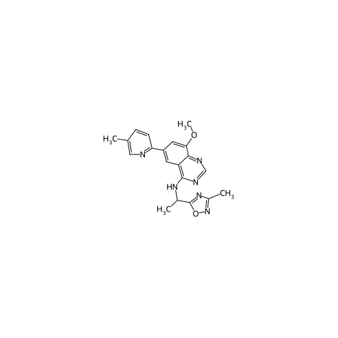 COc1cc(-c2ccc(C)cn2)cc2c(NC(C)c3nc(C)no3)ncnc12